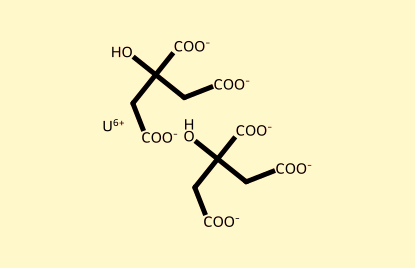 O=C([O-])CC(O)(CC(=O)[O-])C(=O)[O-].O=C([O-])CC(O)(CC(=O)[O-])C(=O)[O-].[U+6]